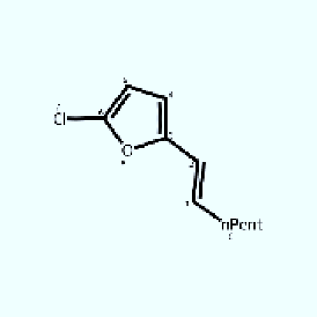 [CH2]CCCCC=Cc1ccc(Cl)o1